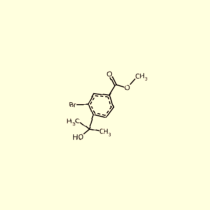 COC(=O)c1ccc(C(C)(C)O)c(Br)c1